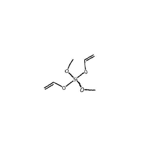 C=CO[Si](OC)(OC)OC=C